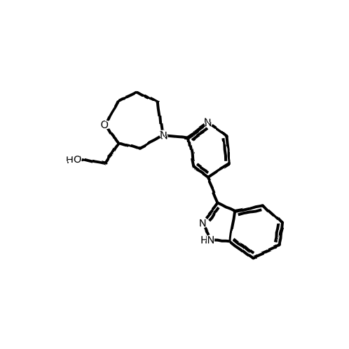 OCC1CN(c2cc(-c3n[nH]c4ccccc34)ccn2)CCCO1